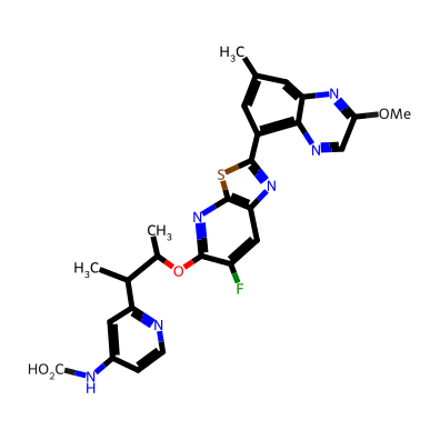 COc1cnc2c(-c3nc4cc(F)c(OC(C)C(C)c5cc(NC(=O)O)ccn5)nc4s3)cc(C)cc2n1